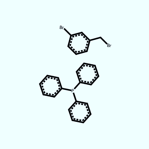 BrCc1cccc(Br)c1.c1ccc(P(c2ccccc2)c2ccccc2)cc1